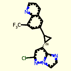 FC(F)(F)c1cc(C2C[C@@H]2c2cc(Cl)nn3ccnc23)cc2cccnc12